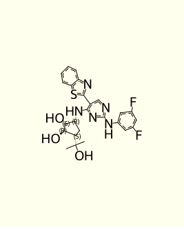 CC(C)(O)[C@H]1C[C@@H](Nc2nc(Nc3cc(F)cc(F)c3)ncc2-c2nc3ccccc3s2)[C@H](O)[C@@H]1O